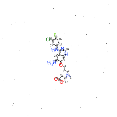 CN(CCCOc1cc2ncnc(Nc3ccc(F)c(Cl)c3)c2cc1N)C1COC(=O)C1